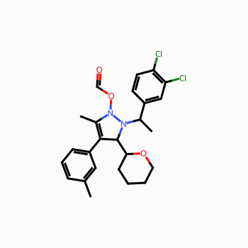 CC1=C(c2cccc(C)c2)C(C2CCCCO2)N(C(C)c2ccc(Cl)c(Cl)c2)N1OC=O